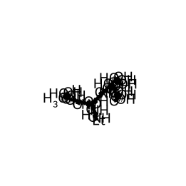 CCNC(=O)CCNC(=O)CN(CC(=O)CCCCC(=O)NCCO[C@H]1O[C@H](CO[C@H]2O[C@H](CO)[C@@H](O)[C@H](O)[C@@H]2O)[C@@H](O)[C@H](O[C@H]2O[C@H](CO)[C@@H](O)[C@H](O)[C@@H]2O)[C@@H]1O)CC(=O)NCCCC(=O)NCCO[C@@H]1O[C@@H](C)[C@@H](O)[C@@H](O)[C@@H]1O